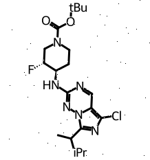 CC(C)C(C)c1nc(Cl)c2cnc(N[C@@H]3CCN(C(=O)OC(C)(C)C)C[C@H]3F)nn12